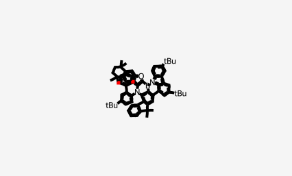 CC(C)(C)c1ccc(N2c3c4c(cc5c3-c3ccccc3C5(C)C)-c3cc(C(C)(C)C)cc5c6cc(C(C)(C)C)ccc6n(c35)B4c3oc4cc5c(cc4c32)C(C)(C)CCC5(C)C)c(-c2ccccc2)c1